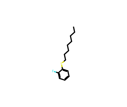 CCCCCCCCSc1ccccc1F